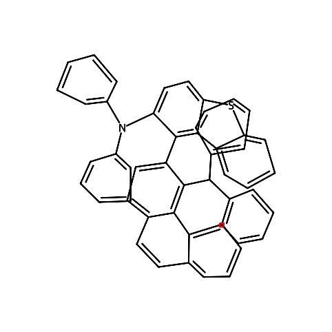 c1ccc(C(c2ccccc2)c2c(-c3c(N(c4ccccc4)c4ccccc4)ccc4sc5ccccc5c34)ccc3ccc4ccccc4c23)cc1